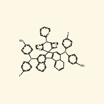 CC(C)(C)c1ccc(N(C2=CC3=C(C4=CC=CCC42)c2c(cc(N(c4ccc(F)cc4)c4ccc(C(C)(C)C)cc4)c4ccccc24)C32c3ccccc3N(c3ccccc3)c3ccccc32)c2ccc(F)cc2)cc1